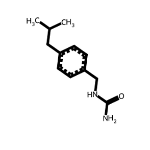 CC(C)Cc1ccc(CNC(N)=O)cc1